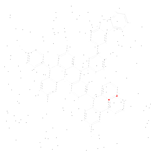 CC(C)(C)c1ccc(N2c3ccc(C(C)(C)C)cc3B3c4ccc(N(c5ccccc5)c5ccc(C(C)(C)C)cc5-c5ccccc5)cc4N(c4cccc(-c5ccc6oc7ccccc7c6c5)c4)c4cc(C(C)(C)C)cc2c43)cc1